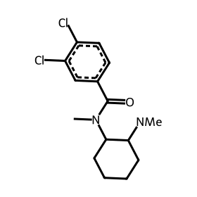 CNC1CCCCC1N(C)C(=O)c1ccc(Cl)c(Cl)c1